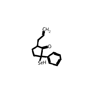 C=CCC1CCC([SeH])(c2ccccc2)C1=O